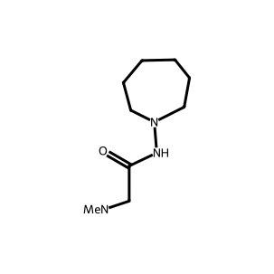 CNCC(=O)NN1CCCCCC1